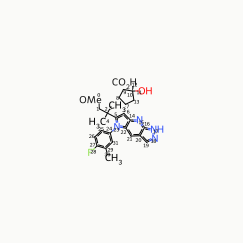 COCC(C)(C)c1c([C@@H]2CC[C@@](O)(C(=O)O)C2)c2nc3[nH]ncc3cc2n1-c1ccc(F)c(C)c1